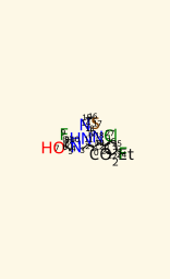 CCOC(=O)C1=C(CN2C[C@@H](O)[C@H](F)C2)NC(c2nccs2)=N[C@H]1c1ccc(F)cc1Cl